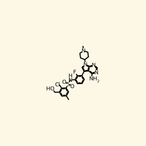 Cc1cc(CO)c(Cl)c(S(=O)(=O)Nc2cccc(-c3cn(C4CCN(C)CC4)c4ncnc(N)c34)c2F)c1